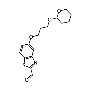 O=Cc1nc2cc(OCCCOC3CCCCO3)ccc2s1